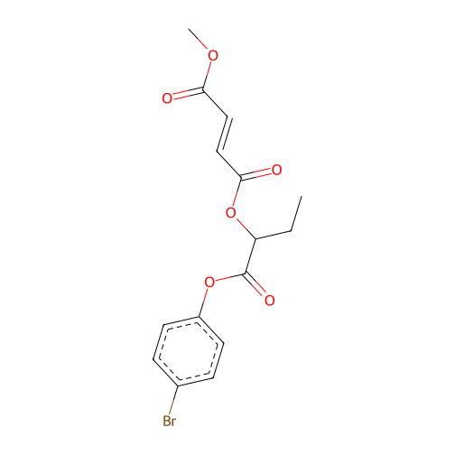 CCC(OC(=O)C=CC(=O)OC)C(=O)Oc1ccc(Br)cc1